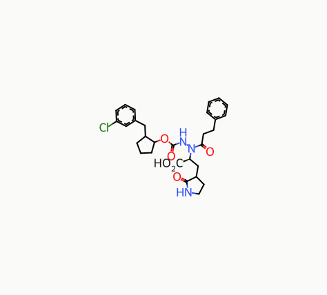 O=C(NN(C(=O)CCc1ccccc1)[C@@H](CC1CCNC1=O)C(=O)O)OC1CCCC1Cc1cccc(Cl)c1